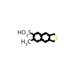 Cc1cc2cc3c(cc2cc1S(=O)(=O)O)CSC3